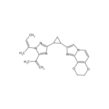 C=C(C)c1nc(C2CC2c2cn3ccc4c(c3n2)OCCO4)nn1/C(C)=C\C